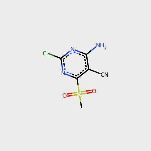 CS(=O)(=O)c1nc(Cl)nc(N)c1C#N